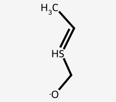 CC=[SH]C[O]